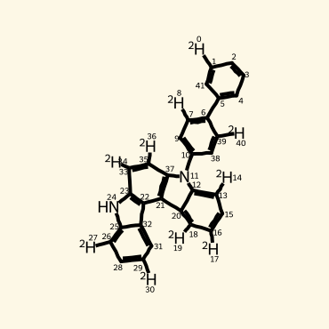 [2H]c1cccc(-c2c([2H])cc(-n3c4c([2H])cc([2H])c([2H])c4c4c5c([nH]c6c([2H])cc([2H])cc65)c([2H])c([2H])c43)cc2[2H])c1